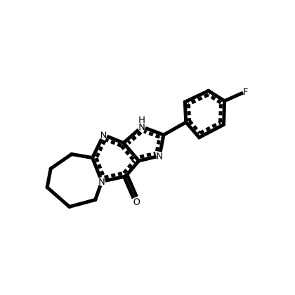 O=c1c2nc(-c3ccc(F)cc3)[nH]c2nc2n1CCCCC2